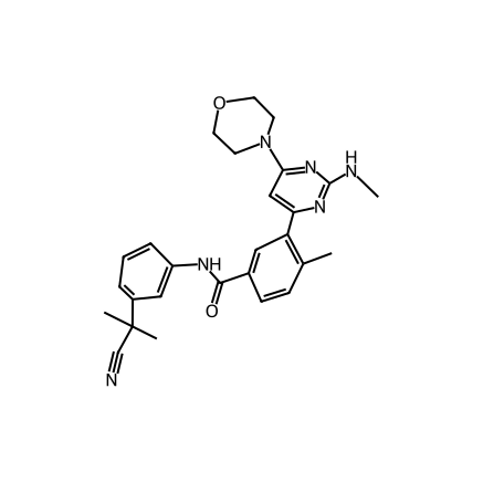 CNc1nc(-c2cc(C(=O)Nc3cccc(C(C)(C)C#N)c3)ccc2C)cc(N2CCOCC2)n1